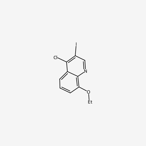 CCOc1cccc2c(Cl)c(I)cnc12